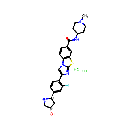 CN1CCC(NC(=O)c2ccc3c(c2)sc2nc(-c4ccc([C@H]5C[C@H](O)CN5)cc4F)cn23)CC1.Cl.Cl